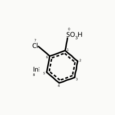 O=S(=O)(O)c1ccccc1Cl.[In]